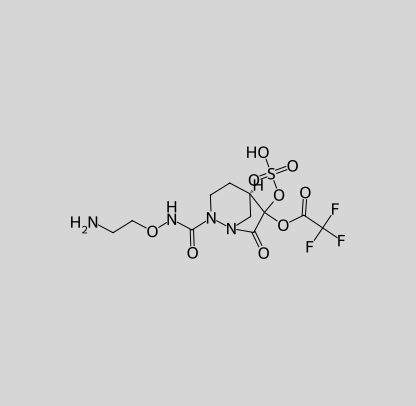 NCCONC(=O)N1CC[C@@H]2CN1C(=O)C2(OC(=O)C(F)(F)F)OS(=O)(=O)O